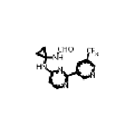 O=CNC1(Nc2ccnc(-c3cncc(C(F)(F)F)c3)n2)CC1